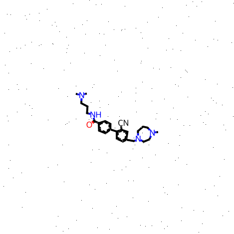 CN(C)CCCNC(=O)c1ccc(-c2ccc(CN3CCCN(C)CC3)cc2C#N)cc1